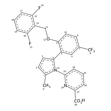 Cc1ccc(-c2cc(C(F)(F)F)ccc2OCc2c(F)cccc2F)n1-c1cccc(C(=O)O)n1